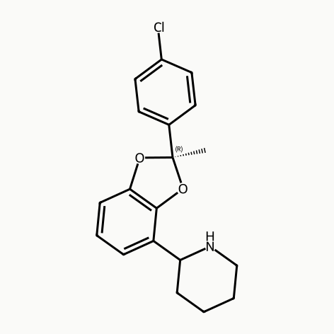 C[C@@]1(c2ccc(Cl)cc2)Oc2cccc(C3CCCCN3)c2O1